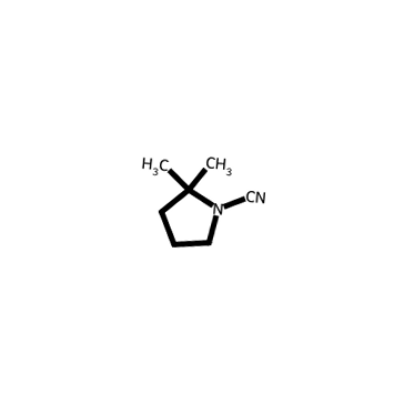 CC1(C)CCCN1C#N